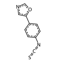 S=C=Nc1ccc(-c2cnco2)cc1